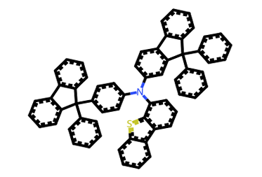 c1ccc(C2(c3ccc(N(c4ccc5c(c4)C(c4ccccc4)(c4ccccc4)c4ccccc4-5)c4cccc5c4sc4ccccc45)cc3)c3ccccc3-c3ccccc32)cc1